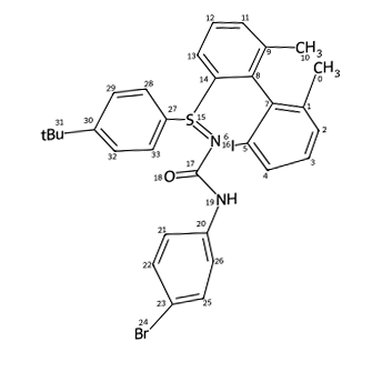 Cc1cccc(I)c1-c1c(C)cccc1S(=NC(=O)Nc1ccc(Br)cc1)c1ccc(C(C)(C)C)cc1